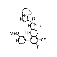 COc1cc(-c2cc(F)c(C(F)(F)F)c(C)c2NC(=O)N=S(N)(=O)c2cnn3c2OCCC3)ccn1